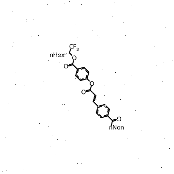 CCCCCCCCCC(=O)c1ccc(/C=C/C(=O)Oc2ccc(C(=O)O[C@H](CCCCCC)C(F)(F)F)cc2)cc1